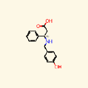 O=C(O)C[C@@H](NCc1ccc(O)cc1)c1ccccc1